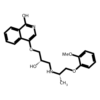 COc1ccccc1OC[C@H](C)NC[C@H](O)COc1cnc(O)c2ccccc12